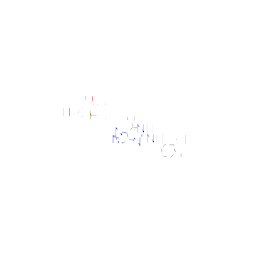 CC(COCCn1ncc2nc(NCc3ccc(Cl)c(Cl)c3)[nH]c(=O)c21)[SH](=O)=O